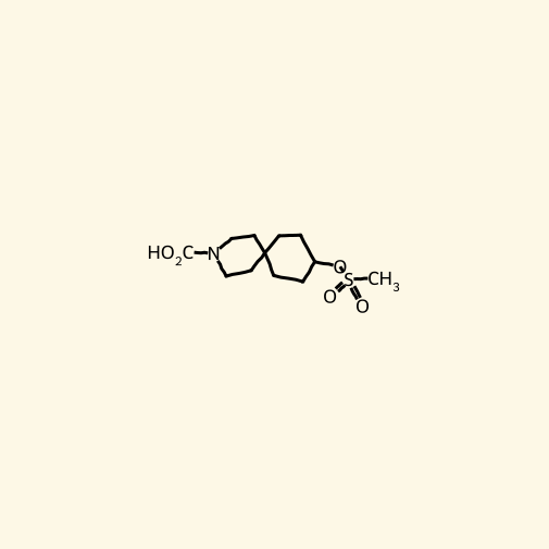 CS(=O)(=O)OC1CCC2(CC1)CCN(C(=O)O)CC2